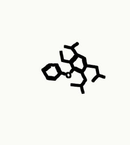 CCc1c([C](C)C)cc(CC(C)C)c(CC(C)C)c1Oc1ccccc1